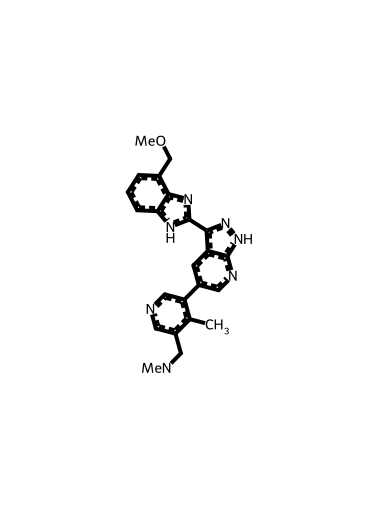 CNCc1cncc(-c2cnc3[nH]nc(-c4nc5c(COC)cccc5[nH]4)c3c2)c1C